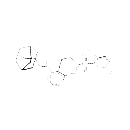 O=S(=O)(c1cc(Cl)ccc1F)N1CCc2c(ncnc2NCC23CC4CC(CC(C4)C2)C3)C1